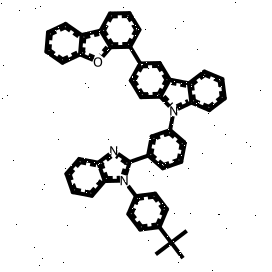 CC(C)(C)c1ccc(-n2c(-c3cccc(-n4c5ccccc5c5cc(-c6cccc7c6oc6ccccc67)ccc54)c3)nc3ccccc32)cc1